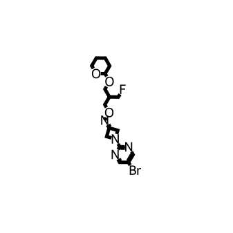 FCC(CON=C1CN(c2ncc(Br)cn2)C1)COC1CCCCO1